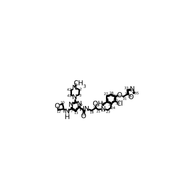 CN1CCN(c2nc(NC3COC3)cc(C(=O)NCC(O)CN3CCc4c(ccc(OCc5cnco5)c4Cl)C3)n2)CC1